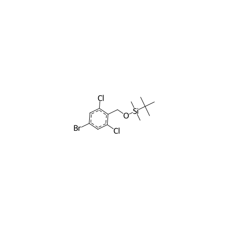 CC(C)(C)[Si](C)(C)OCc1c(Cl)cc(Br)cc1Cl